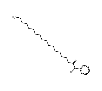 CCCCCCCCCCCCCCCCCC(=O)C(Cl)c1ccccc1